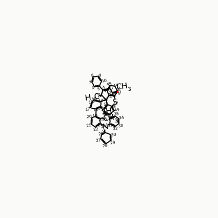 C/C=C\C=C(\c1ccccc1)C(C)C1(c2cccc(-c3cccc(N(c4ccccc4)c4ccccc4)c3C)c2S)C2=C(CCC=C2)Sc2ccccc21